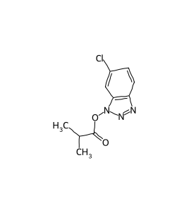 CC(C)C(=O)On1nnc2ccc(Cl)cc21